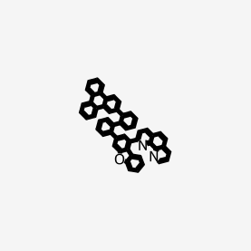 c1ccc(-c2ccccc2-c2ccc3c4ccccc4c4ccccc4c3c2)c(-c2cc(-c3ccc4ccc5cccnc5c4n3)c3c(c2)oc2ccccc23)c1